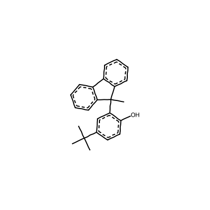 CC(C)(C)c1ccc(O)c(C2(C)c3ccccc3-c3ccccc32)c1